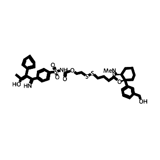 CNC[C@H]1CCCC[C@]1(OC(=O)CCCSSCCOC(=O)NS(=O)(=O)c1ccc(C(=N)/C(=C(/C)O)c2ccccc2)cc1)c1cccc(CO)c1